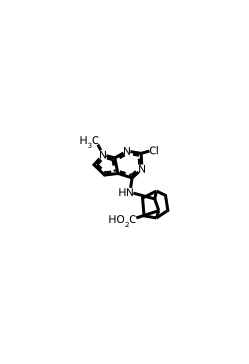 Cn1ccc2c(NC3C4CCC(CC4)C3C(=O)O)nc(Cl)nc21